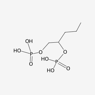 CCCC(COP(=O)(O)O)OP(=O)(O)O